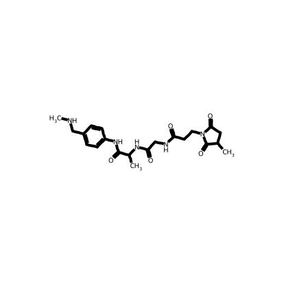 CNCc1ccc(NC(=O)C(C)NC(=O)CNC(=O)CCN2C(=O)CC(C)C2=O)cc1